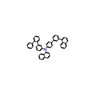 c1ccc(-c2ccccc2-c2cccc(N(c3ccc(-c4cccc(-c5cccc6ccccc56)c4)cc3)c3cccc4ccccc34)c2)cc1